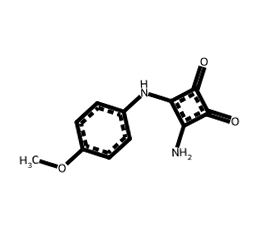 COc1ccc(Nc2c(N)c(=O)c2=O)cc1